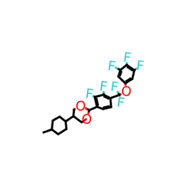 CC1CCC(C2COC(c3ccc(C(F)(F)Oc4cc(F)c(F)c(F)c4)c(F)c3F)OC2)CC1